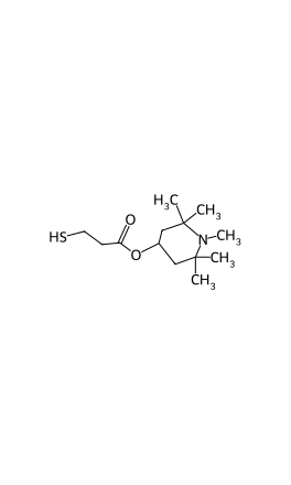 CN1C(C)(C)CC(OC(=O)CCS)CC1(C)C